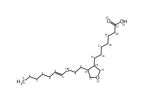 CCCCC/C=C/SCCC1COCC1CCCCCCC(=O)O